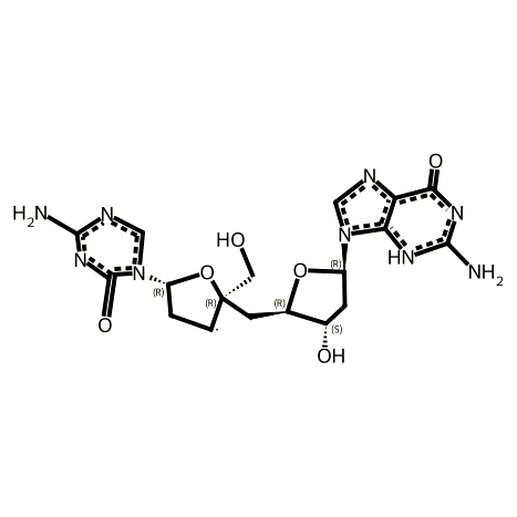 Nc1ncn([C@H]2C[CH][C@](CO)(C[C@H]3O[C@@H](n4cnc5c(=O)nc(N)[nH]c54)C[C@@H]3O)O2)c(=O)n1